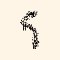 Cc1cc(-c2ncnc3[nH]c(-c4ccc(N5CCN(CC6CCN(c7ccc(N8CCC(=O)N(C)C8=O)cc7)CC6)CC5)nc4)cc23)ccc1C(C)NC(=O)c1nc(C(C)(C)C)no1